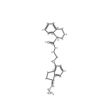 CO/N=C1\CCc2c(OCCCC(=O)N3CCCc4ccccc43)cccc21